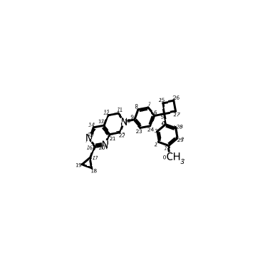 Cc1ccc(C2(c3ccc(N4CCc5cnc(C6CC6)nc5C4)cc3)CCC2)cc1